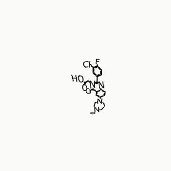 CCN1CCCN(c2ccc3nc(-c4ccc(F)c(Cl)c4)n(CC(=O)O)c(=O)c3c2)CC1